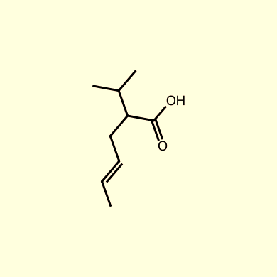 CC=CCC(C(=O)O)C(C)C